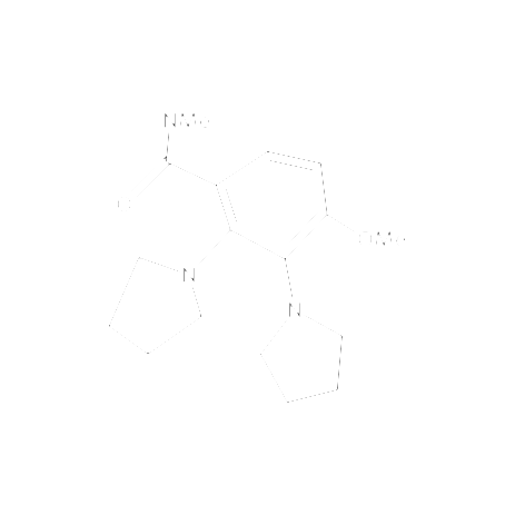 CNC(=O)c1ccc(OC)c(N2CCCC2)c1N1CCCC1